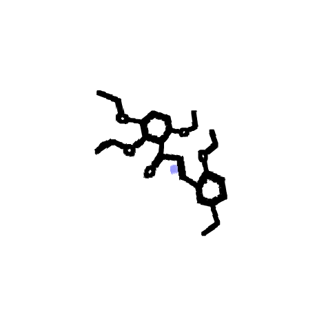 CCOc1ccc(CC)cc1/C=C/C(=O)c1c(OCC)ccc(OCC)c1OCC